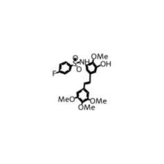 COc1cc(C=Cc2cc(O)c(OC)c(NS(=O)(=O)c3ccc(F)cc3)c2)cc(OC)c1OC